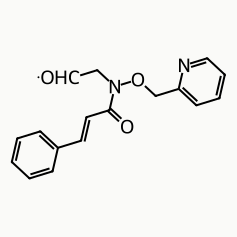 O=[C]CN(OCc1ccccn1)C(=O)/C=C/c1ccccc1